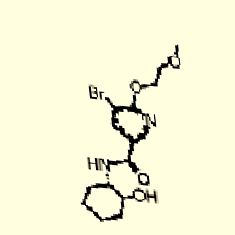 COCCOc1ncc(C(=O)N[C@H]2CCCC[C@@H]2O)cc1Br